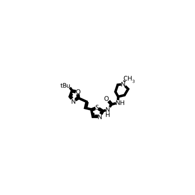 CN1CCC(NC(=O)Nc2ncc(C=Cc3ncc(C(C)(C)C)o3)s2)CC1